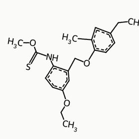 CCOc1ccc(NC(=S)OC)c(COc2ccc(CC)cc2C)c1